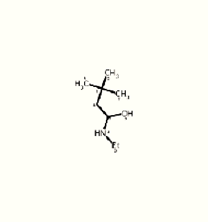 CCNC(O)CC(C)(C)C